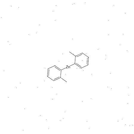 Cc1cccc[c]1[Zn][c]1ccccc1C